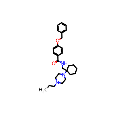 CCCN1CCN(C2(CNC(=O)c3ccc(OCc4ccccc4)cc3)CCCCC2)CC1